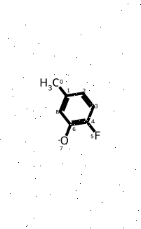 Cc1ccc(F)c([O])c1